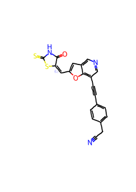 N#CCc1ccc(C#Cc2cncc3cc(/C=C4/SC(=S)NC4=O)oc23)cc1